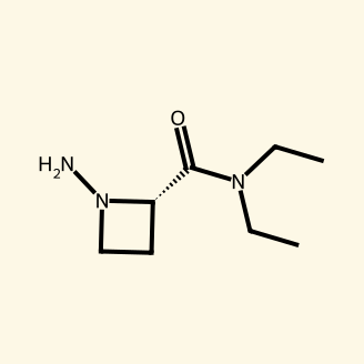 CCN(CC)C(=O)[C@@H]1CCN1N